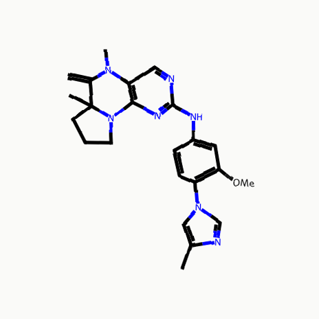 C=C1N(C)c2cnc(Nc3ccc(-n4cnc(C)c4)c(OC)c3)nc2N2CCCC12C